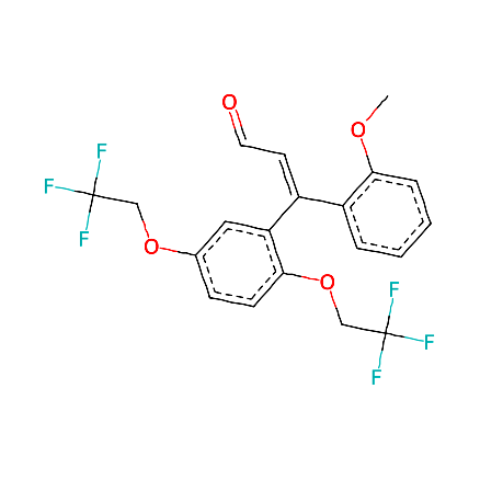 COc1ccccc1C(=CC=O)c1cc(OCC(F)(F)F)ccc1OCC(F)(F)F